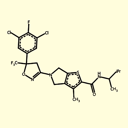 Cc1c(C(=O)NC(C)C(C)C)sc2c1CN(C1=NOC(c3cc(Cl)c(F)c(Cl)c3)(C(F)(F)F)C1)C2